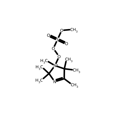 COS(=O)(=O)OO[N+]1(C)C(C)(C)N=C(C)C1(C)C